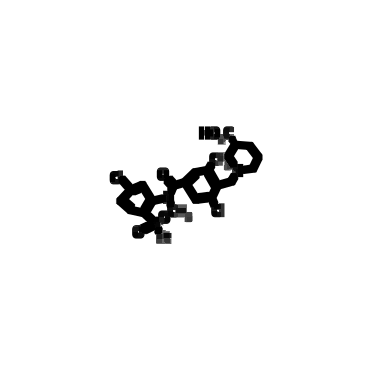 CCS(=O)(=O)c1ccc(Cl)cc1N(C)C(=O)c1cc(Cl)c(CN2CCC[C@H](C(=O)O)C2)c(C(F)(F)F)c1